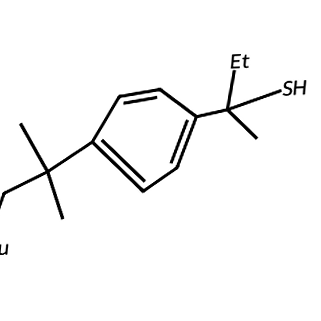 CCC(C)CC(C)(C)c1ccc(C(C)(S)CC)cc1